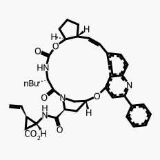 C=C[C@@H]1C[C@]1(NC(=O)[C@@H]1C[C@@H]2CN1C(=O)[C@H](CCCC)NC(=O)O[C@H]1CCC[C@@H]1/C=C\c1ccc3nc(-c4ccccc4)cc(c3c1)O2)C(=O)O